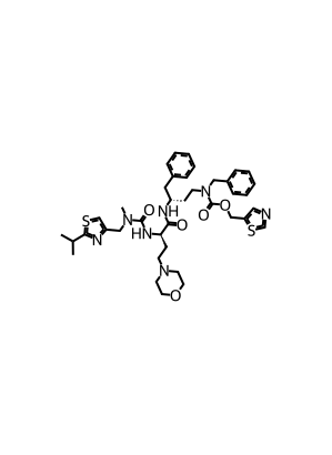 CC(C)c1nc(CN(C)C(=O)N[C@H](CCN2CCOCC2)C(=O)N[C@@H](CCN(Cc2ccccc2)C(=O)OCc2cncs2)Cc2ccccc2)cs1